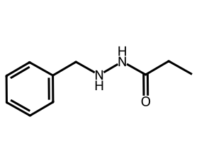 CCC(=O)NNCc1ccccc1